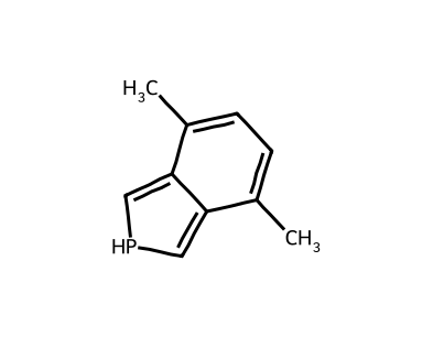 Cc1ccc(C)c2c[pH]cc12